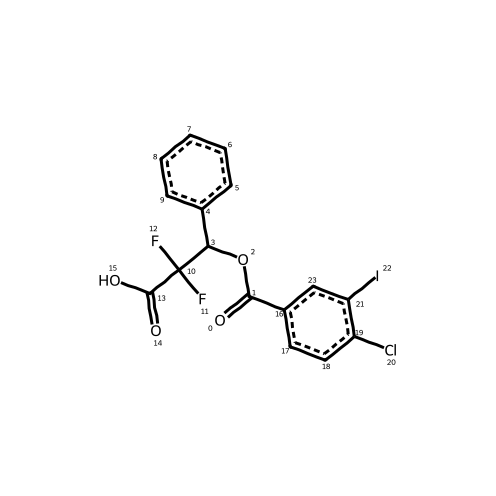 O=C(OC(c1ccccc1)C(F)(F)C(=O)O)c1ccc(Cl)c(I)c1